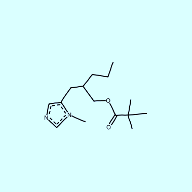 CCCC(COC(=O)C(C)(C)C)Cc1cncn1C